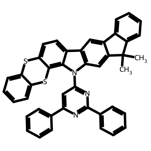 CC1(C)c2ccccc2-c2cc3c4ccc5c(c4n(-c4cc(-c6ccccc6)nc(-c6ccccc6)n4)c3cc21)Sc1ccccc1S5